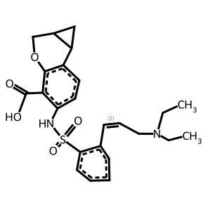 CCN(CC)C/C=C\c1ccccc1S(=O)(=O)Nc1ccc2c(c1C(=O)O)OCC1CC21